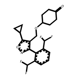 O=C1CCC(OCc2c(-c3c(C(F)F)cccc3C(F)F)noc2C2CC2)CC1